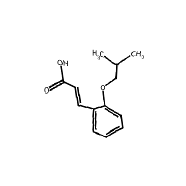 CC(C)COc1ccccc1C=CC(=O)O